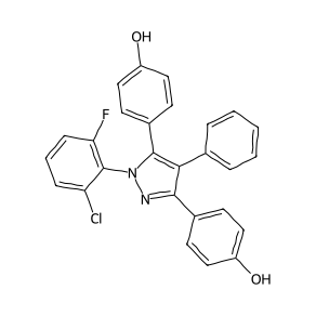 Oc1ccc(-c2nn(-c3c(F)cccc3Cl)c(-c3ccc(O)cc3)c2-c2ccccc2)cc1